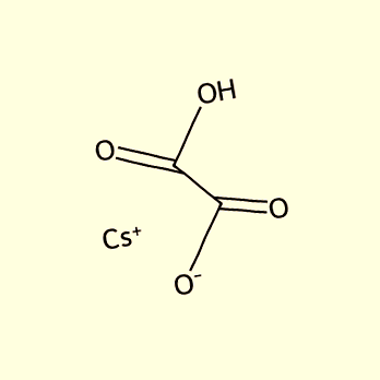 O=C([O-])C(=O)O.[Cs+]